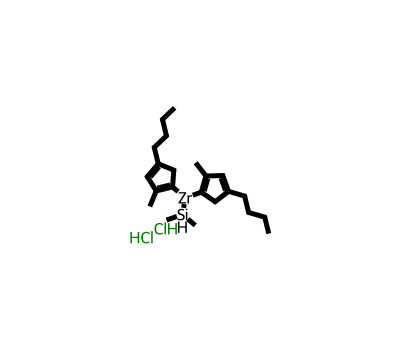 CCCCC1=CC(C)=[C]([Zr]([C]2=C(C)C=C(CCCC)C2)[SiH](C)C)C1.Cl.Cl